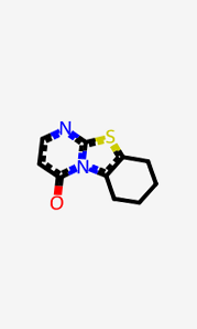 O=c1ccnc2sc3c(n12)CCCC3